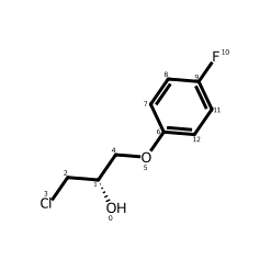 O[C@H](CCl)COc1ccc(F)cc1